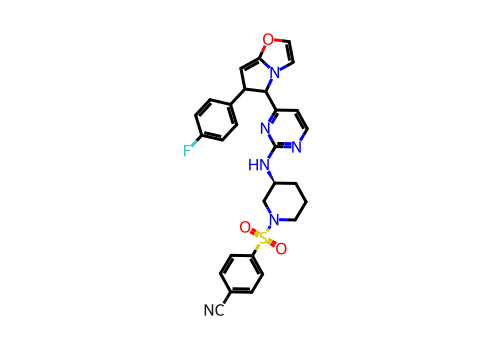 N#Cc1ccc(S(=O)(=O)N2CCC[C@H](Nc3nccc(C4C(c5ccc(F)cc5)C=C5OC=CN54)n3)C2)cc1